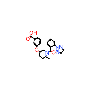 CC1CCC(Oc2cccc(C(=O)O)c2)CN1C(=O)c1ccccc1-n1nccn1